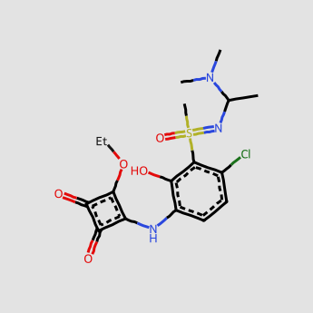 CCOc1c(Nc2ccc(Cl)c(S(C)(=O)=NC(C)N(C)C)c2O)c(=O)c1=O